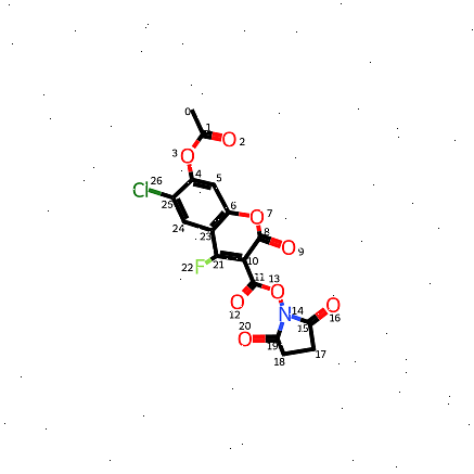 CC(=O)Oc1cc2oc(=O)c(C(=O)ON3C(=O)CCC3=O)c(F)c2cc1Cl